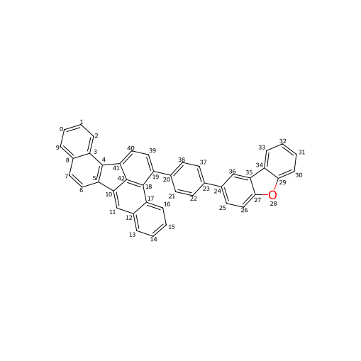 c1ccc2c3c(ccc2c1)-c1cc2ccccc2c2c(-c4ccc(-c5ccc6oc7ccccc7c6c5)cc4)ccc-3c12